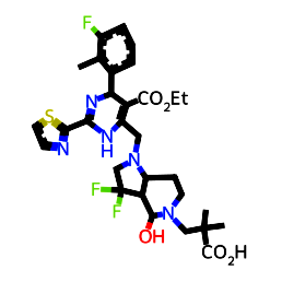 CCOC(=O)C1=C(CN2CC(F)(F)C3C(O)N(CC(C)(C)C(=O)O)CCC32)NC(c2nccs2)=NC1c1cccc(F)c1C